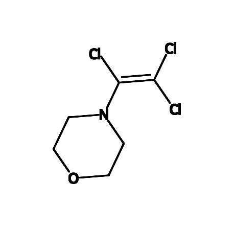 ClC(Cl)=C(Cl)N1CCOCC1